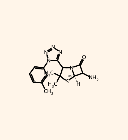 Cc1cccc(-n2nnnc2C2N3C(=O)C(N)[C@H]3SC2(C)C)c1